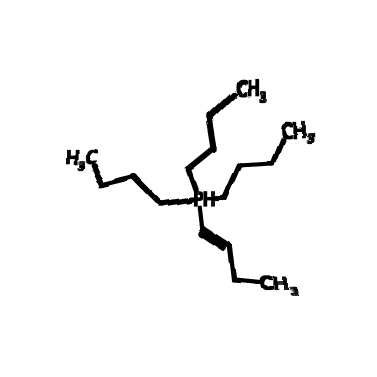 CCC=C[PH](CCCC)(CCCC)CCCC